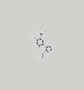 COC(=O)c1cc(-c2ccsc2CCO)c(O)cc1Cl